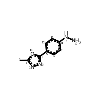 Cc1nnc(-c2ccc(NN)cc2)o1